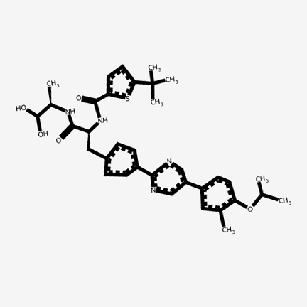 Cc1cc(-c2cnc(-c3ccc(C[C@H](NC(=O)c4ccc(C(C)(C)C)s4)C(=O)N[C@H](C)C(O)O)cc3)nc2)ccc1OC(C)C